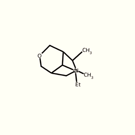 CCOC1C2COCC1C(C)N(C)C2